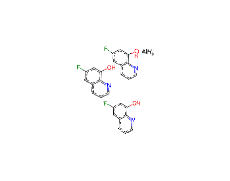 Oc1cc(F)cc2cccnc12.Oc1cc(F)cc2cccnc12.Oc1cc(F)cc2cccnc12.[AlH3]